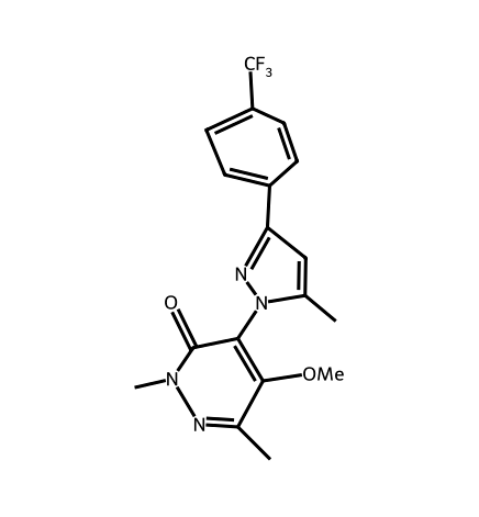 COc1c(C)nn(C)c(=O)c1-n1nc(-c2ccc(C(F)(F)F)cc2)cc1C